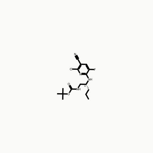 CCC[C@H](CNC(=O)OC(C)(C)C)Nc1nc(Cl)c(C#N)cc1F